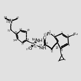 CC(C)c1cc(F)cc(C2CC2)c1CC(=O)N[S@@](=N)(=O)c1ccc(CN(C)C)cc1